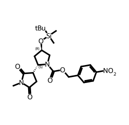 CN1C(=O)CC([C@@H]2C[C@@H](O[Si](C)(C)C(C)(C)C)CN2C(=O)OCc2ccc([N+](=O)[O-])cc2)C1=O